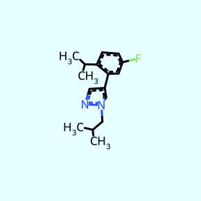 CC(C)Cn1cc(-c2cc(F)ccc2C(C)C)cn1